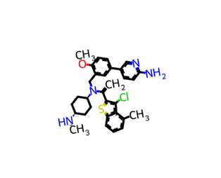 C=C(c1sc2cccc(C)c2c1Cl)N(Cc1cc(-c2ccc(N)nc2)ccc1OC)[C@H]1CC[C@H](NC)CC1